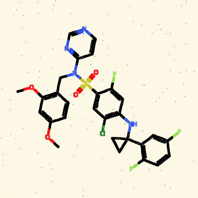 COc1ccc(CN(c2ccncn2)S(=O)(=O)c2cc(Cl)c(NC3(c4cc(F)ccc4F)CC3)cc2F)c(OC)c1